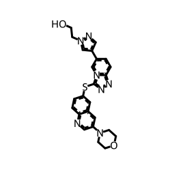 OCCn1cc(-c2ccc3nnc(Sc4ccc5ncc(N6CCOCC6)cc5c4)n3c2)cn1